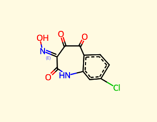 O=C1Nc2cc(Cl)ccc2C(=O)C(=O)/C1=N\O